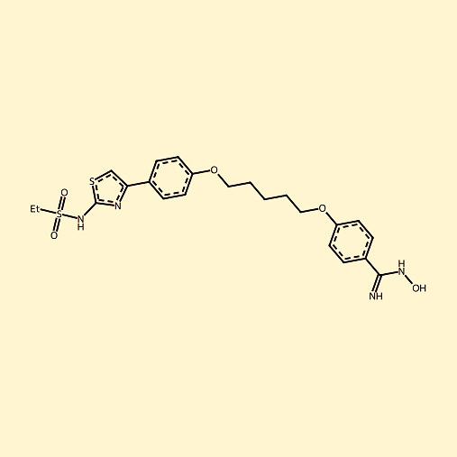 CCS(=O)(=O)Nc1nc(-c2ccc(OCCCCCOc3ccc(C(=N)NO)cc3)cc2)cs1